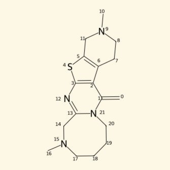 C=C1c2c(sc3c2CCN(C)C3)N=C2CN(C)CCCCN12